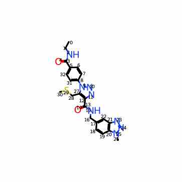 CCNC(=O)c1ccc(-n2nnc(C(=O)NCc3ccc4c(c3)nnn4C)c2CSC)cc1